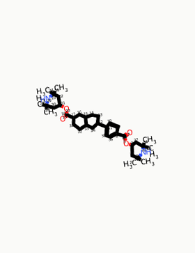 CC1(C)CC(OC(=O)c2ccc(C3CCC4CC(C(=O)OC5CC(C)(C)NC(C)(C)C5)CCC4C3)cc2)CC(C)(C)N1